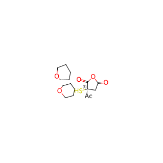 C1CCOCC1.C1CCOCC1.CC(=O)[C@@]1(S)CC(=O)OC1=O